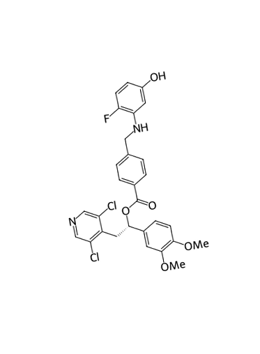 COc1ccc([C@H](Cc2c(Cl)cncc2Cl)OC(=O)c2ccc(CNc3cc(O)ccc3F)cc2)cc1OC